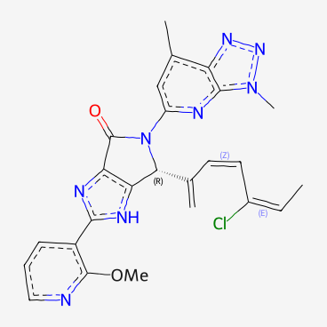 C=C(/C=C\C(Cl)=C/C)[C@@H]1c2[nH]c(-c3cccnc3OC)nc2C(=O)N1c1cc(C)c2nnn(C)c2n1